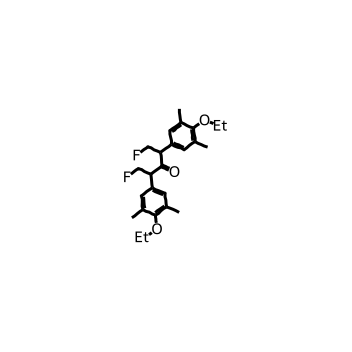 CCOc1c(C)cc(C(CF)C(=O)C(CF)c2cc(C)c(OCC)c(C)c2)cc1C